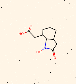 O=C(O)CC1CCCC2CC(=O)N(O)C12